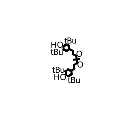 CC(C)(C(=O)CCc1cc(C(C)(C)C)c(O)c(C(C)(C)C)c1)C(=O)CCc1cc(C(C)(C)C)c(O)c(C(C)(C)C)c1